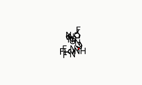 O=C(c1ccc(F)cc1-n1nccn1)N1CC2CC(Nc3ncc(C(F)(F)F)cn3)C1C2